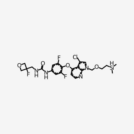 C[SiH](C)CCOCn1cc(Cl)c2c(Oc3c(F)cc(NC(=O)NCC4(F)COC4)cc3F)ccnc21